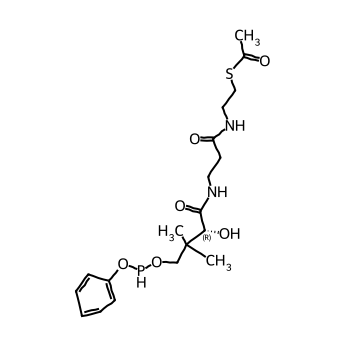 CC(=O)SCCNC(=O)CCNC(=O)[C@H](O)C(C)(C)COPOc1ccccc1